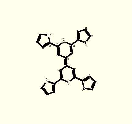 C1=C(c2cccs2)OC(c2cccs2)=CC1=C1C=C(c2cccs2)OC(c2cccs2)=C1